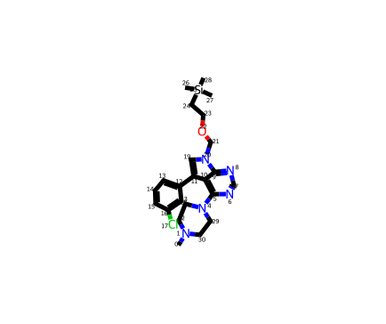 CN1CCN(c2ncnc3c2c(-c2cccc(Cl)c2)cn3COCC[Si](C)(C)C)CC1